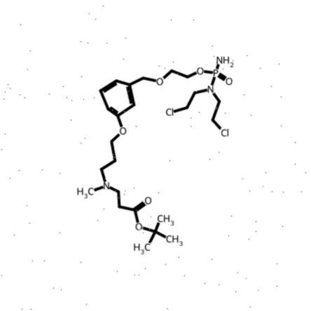 CN(CCCOc1cccc(COCCOP(N)(=O)N(CCCl)CCCl)c1)CCC(=O)OC(C)(C)C